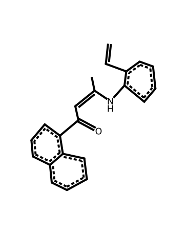 C=Cc1ccccc1N/C(C)=C\C(=O)c1cccc2ccccc12